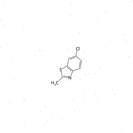 Cc1nc2ccc(Cl)cc2s1